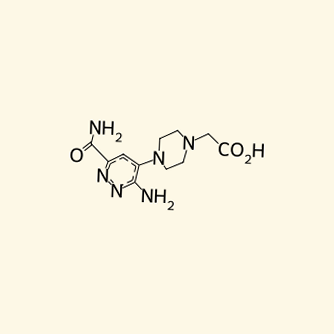 NC(=O)c1cc(N2CCN(CC(=O)O)CC2)c(N)nn1